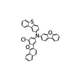 Clc1cc(N(c2ccc3c(c2)oc2ccccc23)c2ccc3sc4ccccc4c3c2)cc2c1oc1c3ccccc3ccc21